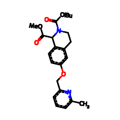 COC(=O)C1c2ccc(OCc3cccc(C)n3)cc2CCN1C(=O)OCC(C)C